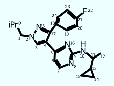 CC(C)Cn1cc(-c2ccnc(NC(C)C3CC3)n2)c(-c2ccc(F)cc2)n1